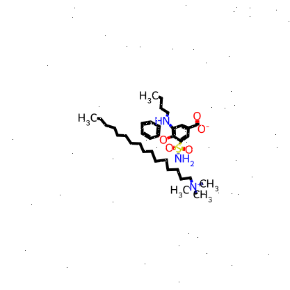 CCCCCCCCCCCCCCCC[N+](C)(C)C.CCCCNc1cc(C(=O)[O-])cc(S(N)(=O)=O)c1Oc1ccccc1